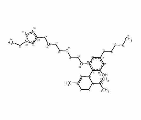 C=C(C)C1CCC(C)=CC1c1c(O)cc(CCCCC)cc1OCCOCCOCc1cn(CC)nn1